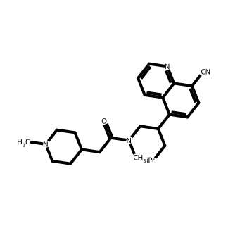 CC(C)CC(CN(C)C(=O)CC1CCN(C)CC1)c1ccc(C#N)c2ncccc12